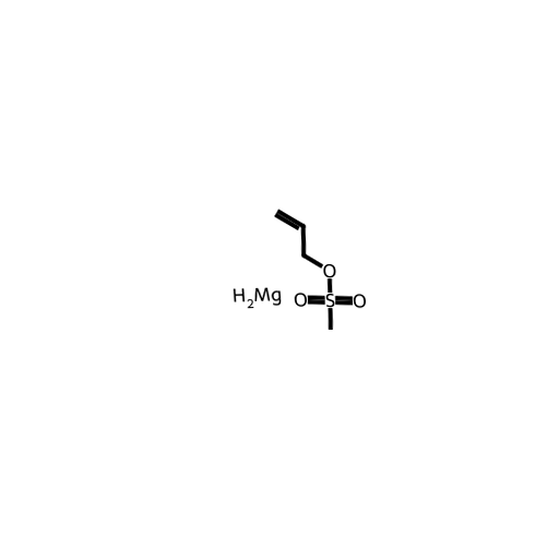 C=CCOS(C)(=O)=O.[MgH2]